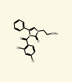 COCCn1cc(-c2ccccc2)n(C(=O)c2ccc(Cl)cc2Cl)c1=O